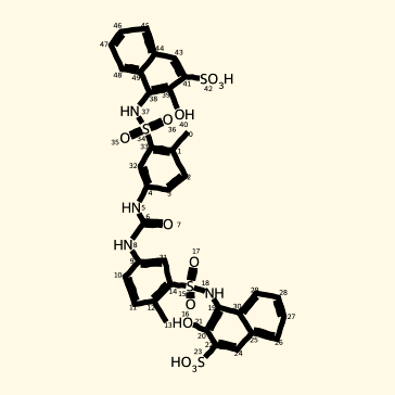 Cc1ccc(NC(=O)Nc2ccc(C)c(S(=O)(=O)Nc3c(O)c(S(=O)(=O)O)cc4ccccc34)c2)cc1S(=O)(=O)Nc1c(O)c(S(=O)(=O)O)cc2ccccc12